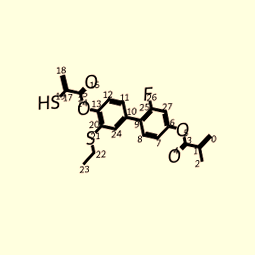 C=C(C)C(=O)Oc1ccc(-c2ccc(OC(=O)C(=C)S)c(SCC)c2)c(F)c1